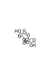 COP(=O)(OC[C@H]1O[C@@H](C)C(O)C1OC(C)C)OC1C(O)[C@H](C)OC[C@@H]1COC(C)C